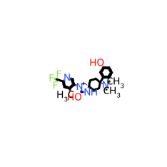 Cc1cc(C(F)(F)F)ncc1N1C[C@]2(CC[C@](c3cccc(O)c3)(N(C)C)CC2)NC1O